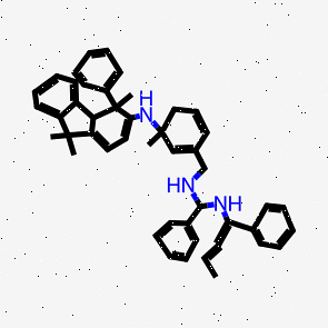 CC=C=C(NC(NCC1=CC(C)(NC2=CC=C3C(c4ccccc4C3(C)C)C2(C)c2ccccc2)CC=C1)c1ccccc1)c1ccccc1